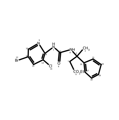 CCOC(=O)CC(C)(NC(=O)Nc1ncc(Br)cc1Cl)c1ccccc1